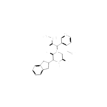 CC(C)C[C@@H]1C(=O)NC(C2Cc3ccccc3C2)C(=O)N1C(C(=O)NC(C)C)c1cccnc1